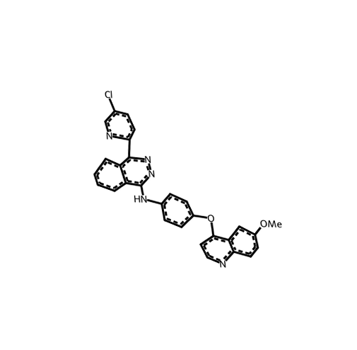 COc1ccc2nccc(Oc3ccc(Nc4nnc(-c5ccc(Cl)cn5)c5ccccc45)cc3)c2c1